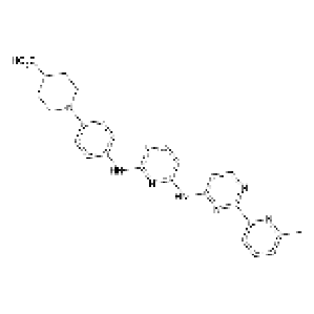 Cc1cccc(-c2nccc(Nc3ccnc(Nc4ccc(N5CCC(C(=O)O)CC5)cc4)n3)n2)n1